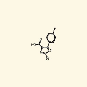 O=C(O)c1nc(Br)sc1-c1ccc(F)cc1